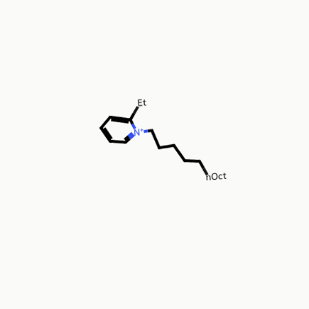 CCCCCCCCCCCCC[n+]1ccccc1CC